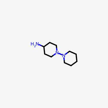 NC1CCN(N2CCCCC2)CC1